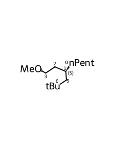 CCCCC[C@H](CCOC)CC(C)(C)C